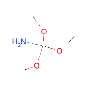 COC(N)(OC)OC